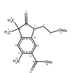 COCCN1C(=O)C(C)(C)c2cc(N)c(C(=O)OC)cc21